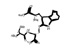 CCCC[C@@H](NC)C(=O)N[C@H](CSc1[nH]c2ccccc2c1C[C@H](NC)C(=O)OC)C(N)=O